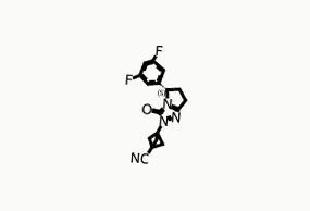 N#CC12CC(n3nc4n(c3=O)[C@H](c3cc(F)cc(F)c3)CC4)(C1)C2